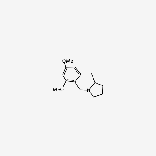 COc1ccc(CN2CCCC2C)c(OC)c1